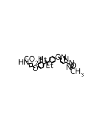 CCC(CC)(c1ccc(Oc2ccc(-c3noc(C)n3)nn2)cc1)c1ccc(OC2CC(NC(=O)O)C2)cc1